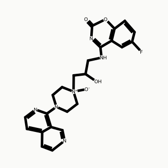 O=c1nc(NCC(O)C[N+]2([O-])CCN(c3nccc4ccncc34)CC2)c2cc(F)ccc2o1